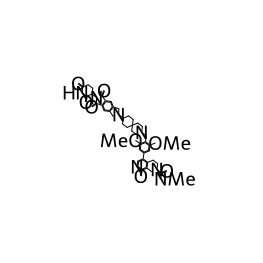 CNC(=O)N1CCc2c(-c3cc(OC)c(CN4CCC5(CCC(N6Cc7cc8c(cc7C6)C(=O)N(C6CCC(=O)NC6=O)C8=O)CC5)CC4)c(OC)c3)cn(C)c(=O)c2C1